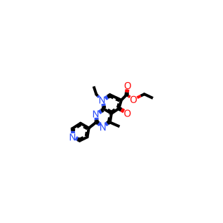 CCOC(=O)c1cn(CC)c2nc(-c3ccncc3)nc(C)c2c1=O